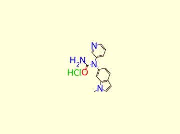 Cl.Cn1ccc2ccc(N(C(N)=O)c3cccnc3)cc21